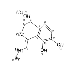 CC(C)NCC1NCCc2ccc(O)c(O)c21.Cl.Cl